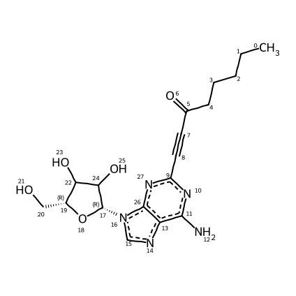 CCCCCC(=O)C#Cc1nc(N)c2ncn([C@@H]3O[C@H](CO)C(O)C3O)c2n1